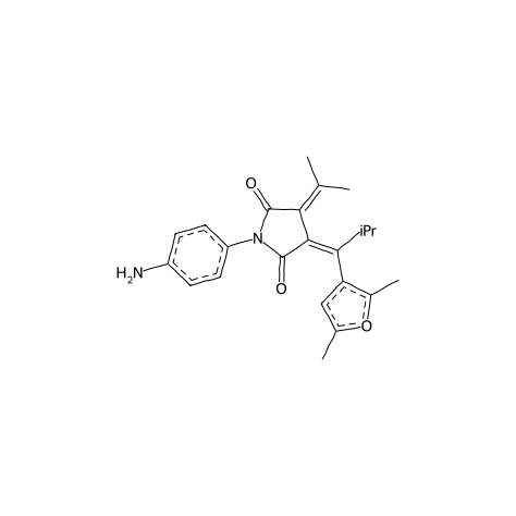 CC(C)=C1C(=O)N(c2ccc(N)cc2)C(=O)C1=C(c1cc(C)oc1C)C(C)C